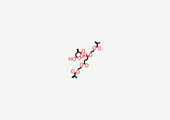 C=C(C)C(=O)OCCOC(=O)CCC(=O)OCCOC(=O)C(=C)C.C=C(CC(=O)O)C(=O)O